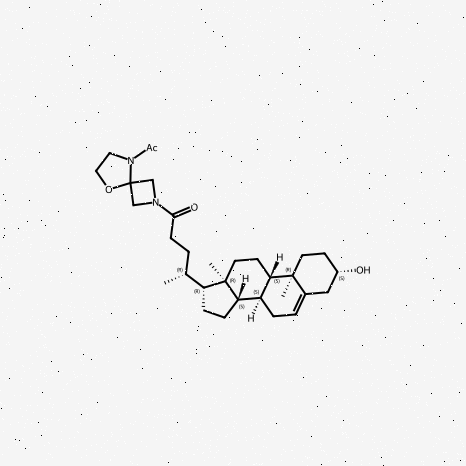 CC(=O)N1CCOC12CN(C(=O)CC[C@@H](C)[C@H]1CC[C@H]3[C@@H]4CC=C5C[C@@H](O)CC[C@]5(C)[C@H]4CC[C@]13C)C2